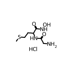 CSCCC(NC(=O)CN)C(=O)NO.Cl